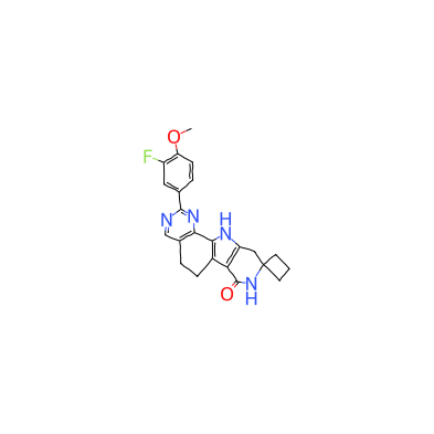 COc1ccc(-c2ncc3c(n2)-c2[nH]c4c(c2CC3)C(=O)NC2(CCC2)C4)cc1F